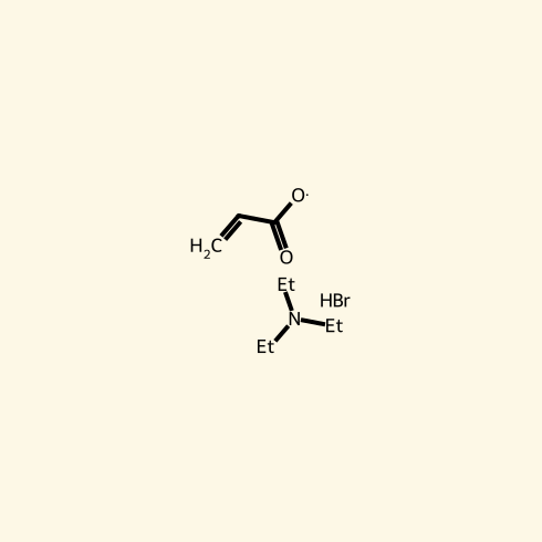 Br.C=CC([O])=O.CCN(CC)CC